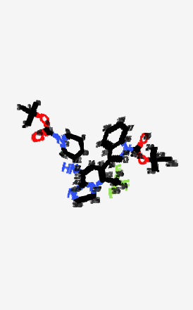 CC(C)(C)OC(=O)N1CCC[C@H](Nc2cc(-c3cn(C(=O)OC(C)(C)C)c4ccccc34)c(C(F)(F)F)n3ccnc23)C1